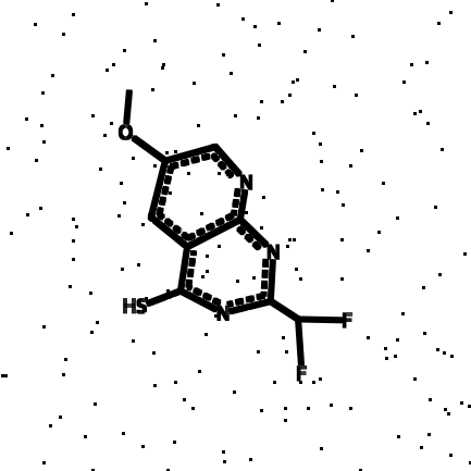 COc1cnc2nc(C(F)F)nc(S)c2c1